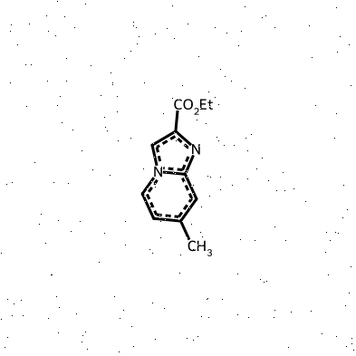 CCOC(=O)c1cn2ccc(C)cc2n1